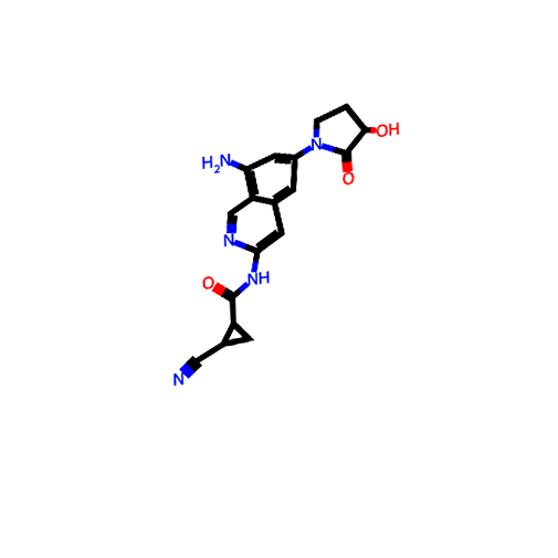 N#CC1CC1C(=O)Nc1cc2cc(N3CCC(O)C3=O)cc(N)c2cn1